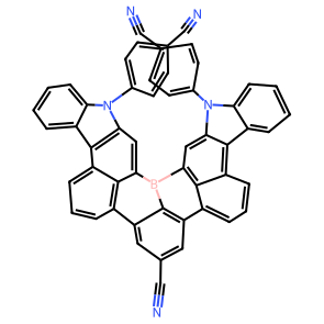 N#Cc1ccc(-n2c3ccccc3c3c4cccc5c4c(cc32)B2c3c-5cc(C#N)cc3-c3cccc4c3c2cc2c4c3ccccc3n2-c2ccc(C#N)cc2)cc1